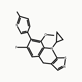 COc1c(-c2ccc(C)nc2)c(F)cc2c1N(C1CC1)c1sncc1C2